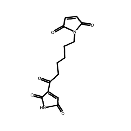 O=C1C=C(C(=O)CCCCCN2C(=O)C=CC2=O)C(=O)N1